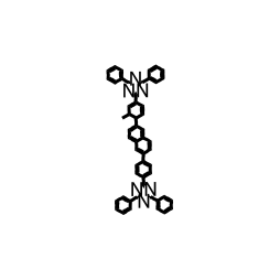 CC1C=C(c2nc(-c3ccccc3)nc(-c3ccccc3)n2)C=CC1c1ccc2cc(-c3ccc(-c4nc(-c5ccccc5)nc(-c5ccccc5)n4)cc3)ccc2c1